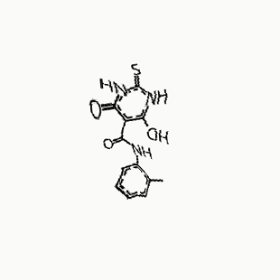 Cc1ccccc1NC(=O)c1c(O)[nH]c(=S)[nH]c1=O